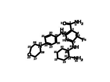 NC(=O)c1cc(F)c(N[C@@H]2CCCC[C@@H]2N)nc1Nc1ccc(N2CCOCC2)cc1